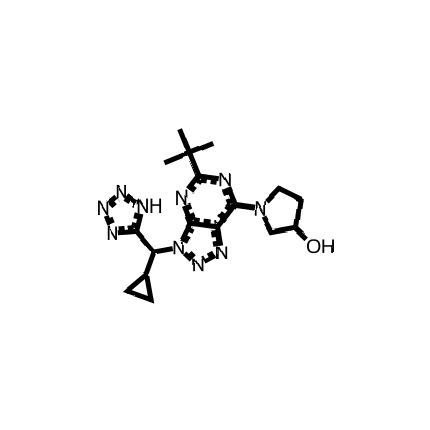 CC(C)(C)c1nc(N2CCC(O)C2)c2nnn(C(c3nnn[nH]3)C3CC3)c2n1